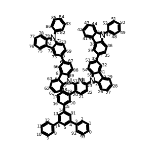 c1ccc(-c2cc(-c3ccccc3)cc(-c3cccc(-c4ccc(-n5c6ccccc6c6cc(-c7ccc8c(c7)c7ccccc7n8-c7ccccc7)ccc65)nc4-n4c5ccccc5c5cc(-c6ccc7c(c6)c6ccccc6n7-c6ccccc6)ccc54)c3)c2)cc1